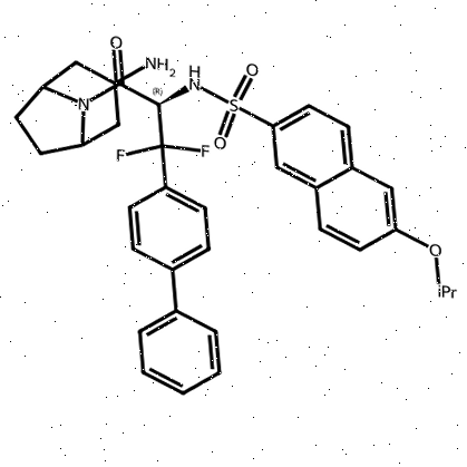 CC(C)Oc1ccc2cc(S(=O)(=O)N[C@H](C(=O)N3C4CCC3CC(N)C4)C(F)(F)c3ccc(-c4ccccc4)cc3)ccc2c1